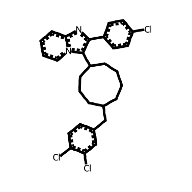 Clc1ccc(-c2nc3ccccn3c2C2CCCCC(Cc3ccc(Cl)c(Cl)c3)CCC2)cc1